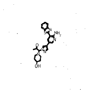 CC(=O)C(N1CCC(O)CC1)n1cc(-c2cnc(N)c(-c3nc4ccccc4s3)c2)cn1